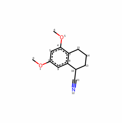 COc1cc(OC)c2c(c1)C(C#N)CCC2